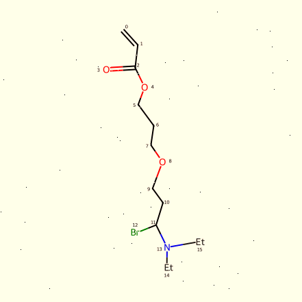 C=CC(=O)OCCCOCCC(Br)N(CC)CC